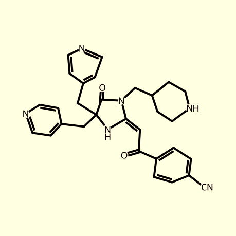 N#Cc1ccc(C(=O)C=C2NC(Cc3ccncc3)(Cc3ccncc3)C(=O)N2CC2CCNCC2)cc1